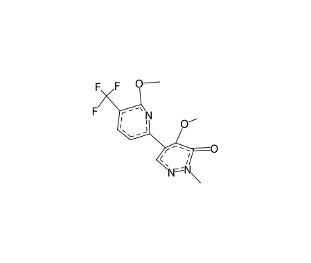 COc1nc(-c2cnn(C)c(=O)c2OC)ccc1C(F)(F)F